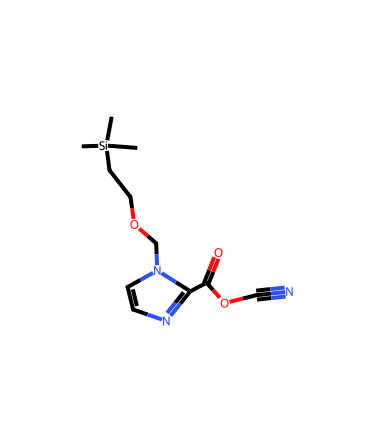 C[Si](C)(C)CCOCn1ccnc1C(=O)OC#N